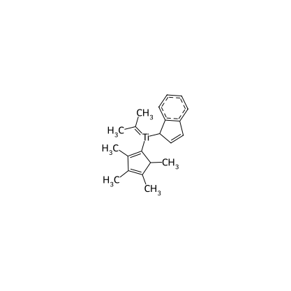 CC1=C(C)C(C)[C]([Ti](=[C](C)C)[CH]2C=Cc3ccccc32)=C1C